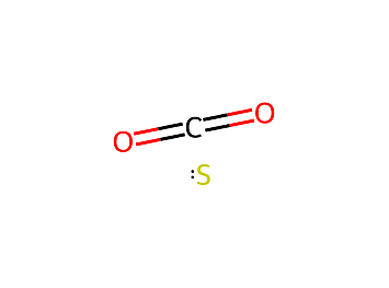 O=C=O.[S]